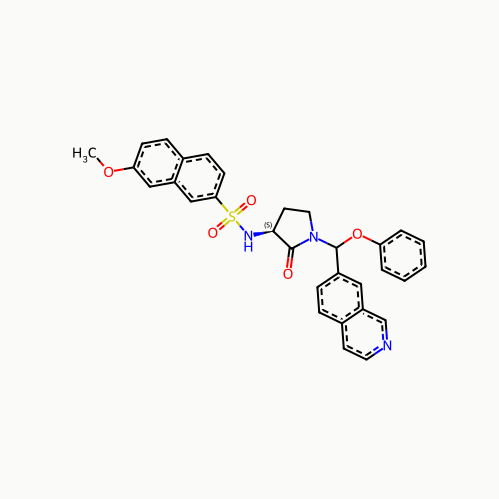 COc1ccc2ccc(S(=O)(=O)N[C@H]3CCN(C(Oc4ccccc4)c4ccc5ccncc5c4)C3=O)cc2c1